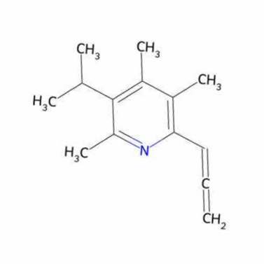 C=C=Cc1nc(C)c(C(C)C)c(C)c1C